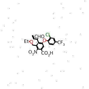 C=CC(C=O)c1c(Oc2ccc(C(F)(F)F)cc2Cl)cc(C(=O)O)c([N+](=O)[O-])c1COCC